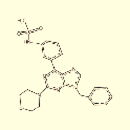 CS(=O)(=O)Nc1cccc(-c2nc(N3CCOCC3)nc3c2ncn3Cc2ccccc2)c1